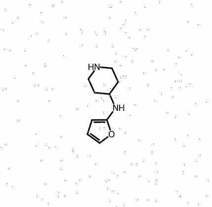 c1coc(NC2CCNCC2)c1